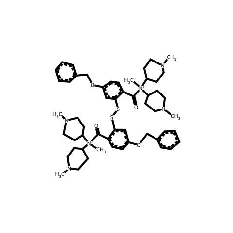 CN1CCC([N+](C)(C(=O)c2ccc(OCc3ccccc3)cc2SSc2cc(OCc3ccccc3)ccc2C(=O)[N+](C)(C2CCN(C)CC2)C2CCN(C)CC2)C2CCN(C)CC2)CC1